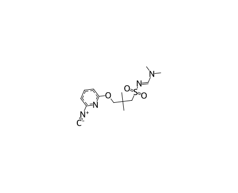 [C-]#[N+]c1cccc(OCC(C)(C)CS(=O)(=O)/N=C/N(C)C)n1